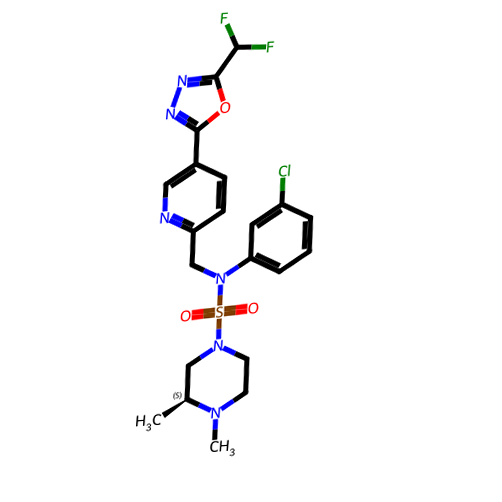 C[C@H]1CN(S(=O)(=O)N(Cc2ccc(-c3nnc(C(F)F)o3)cn2)c2cccc(Cl)c2)CCN1C